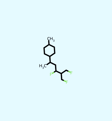 CC1CCC(C(C)CC(F)C(CF)CF)CC1